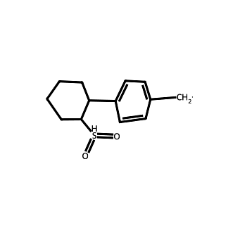 [CH2]c1ccc(C2CCCCC2[SH](=O)=O)cc1